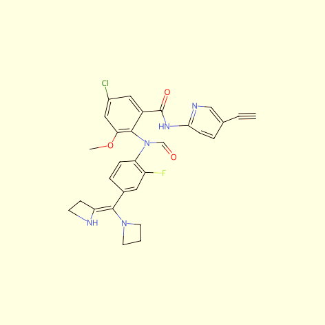 C#Cc1ccc(NC(=O)c2cc(Cl)cc(OC)c2N(C=O)c2ccc(C(=C3CCN3)N3CCC3)cc2F)nc1